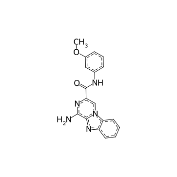 COc1cccc(NC(=O)c2cn3c(nc4ccccc43)c(N)n2)c1